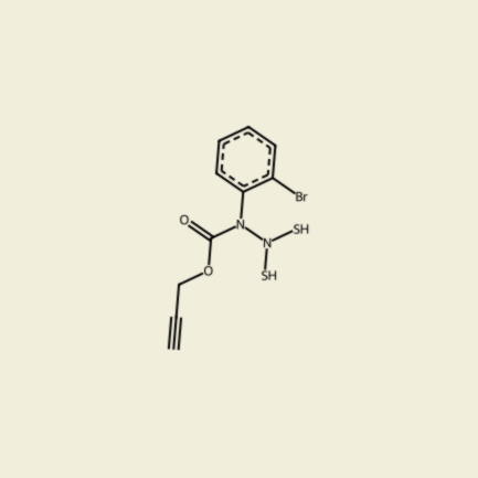 C#CCOC(=O)N(c1ccccc1Br)N(S)S